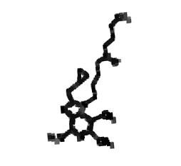 CCCC[S+]([O-])CCCCn1c(CC2CC2)nc2c(N)nc(C)c(C)c21